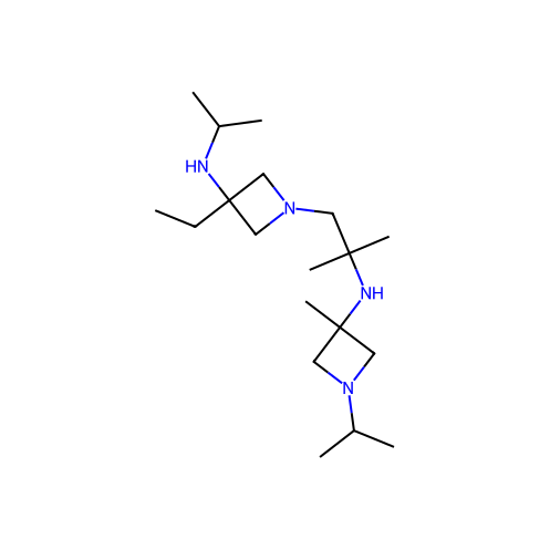 CCC1(NC(C)C)CN(CC(C)(C)NC2(C)CN(C(C)C)C2)C1